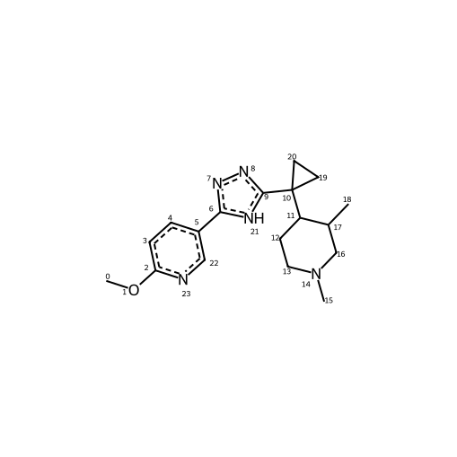 COc1ccc(-c2nnc(C3(C4CCN(C)CC4C)CC3)[nH]2)cn1